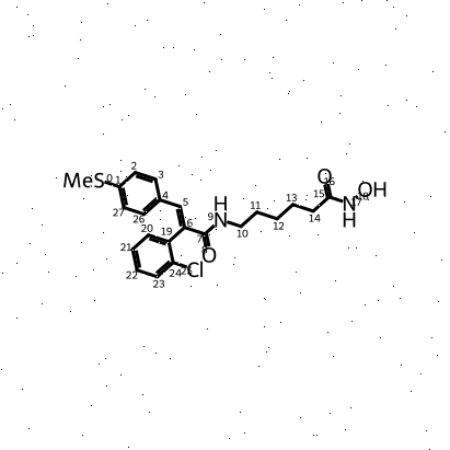 CSc1ccc(/C=C(/C(=O)NCCCCCC(=O)NO)c2ccccc2Cl)cc1